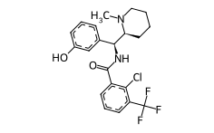 CN1CCCC[C@H]1[C@@H](NC(=O)c1cccc(C(F)(F)F)c1Cl)c1cccc(O)c1